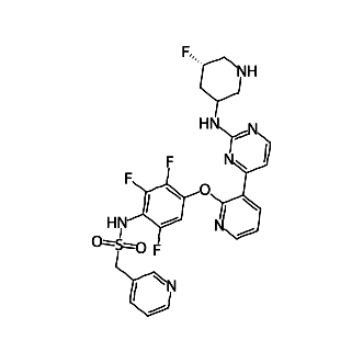 O=S(=O)(Cc1cccnc1)Nc1c(F)cc(Oc2ncccc2-c2ccnc(NC3CNC[C@@H](F)C3)n2)c(F)c1F